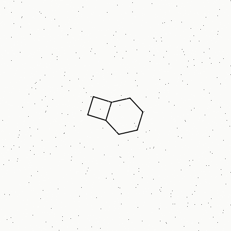 [CH]1CC2CCCCC12